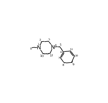 CN1CCN(CC2=CCCC=C2)CC1